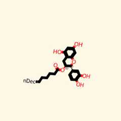 CCCCCCCCCCCCCCCC(=O)O[C@H]1Cc2c(O)cc(O)cc2O[C@@H]1c1ccc(O)c(O)c1